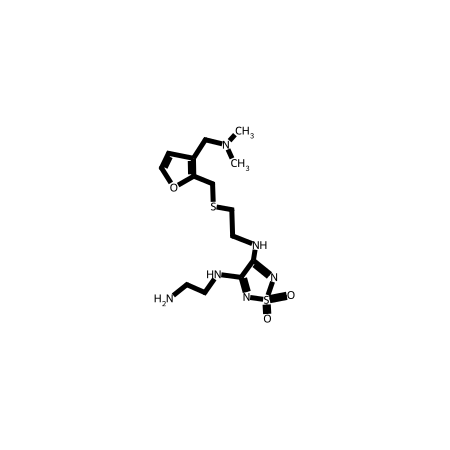 CN(C)Cc1ccoc1CSCCNC1=NS(=O)(=O)N=C1NCCN